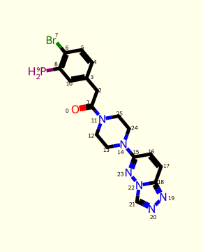 O=C(Cc1ccc(Br)c(P)c1)N1CCN(c2ccc3nncn3n2)CC1